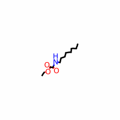 CCCCCCCCNC(=O)C(=O)OCC